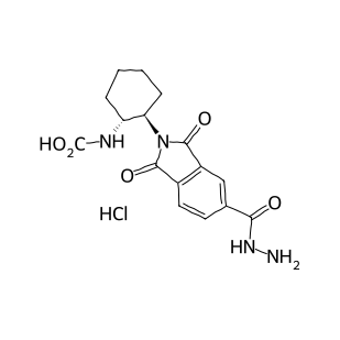 Cl.NNC(=O)c1ccc2c(c1)C(=O)N([C@@H]1CCCC[C@H]1NC(=O)O)C2=O